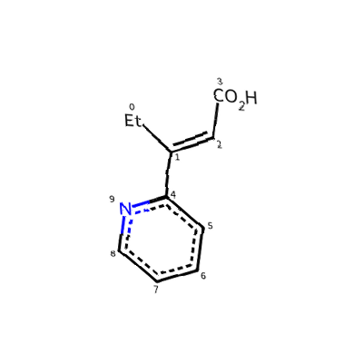 CC/C(=C\C(=O)O)c1ccccn1